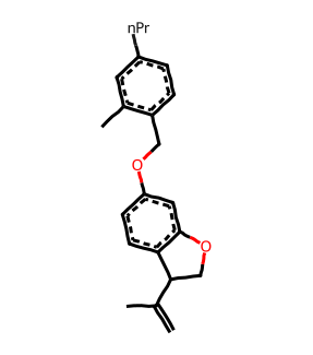 C=C(C)C1COc2cc(OCc3ccc(CCC)cc3C)ccc21